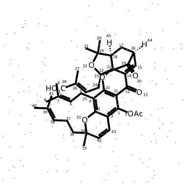 CC(=O)Oc1c2c(c(CC=C(C)C)c3c1C(=O)C1=C[C@@H]4C[C@@H]5C(C)(C)O[C@@](C/C=C(\C)C(=O)O)(C4=O)[C@@]15O3)OC(C)(CCC=C(C)C)C=C2